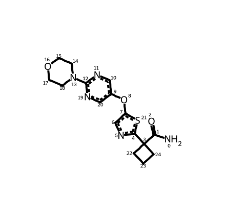 NC(=O)C1(c2ncc(Oc3cnc(N4CCOCC4)nc3)s2)CCC1